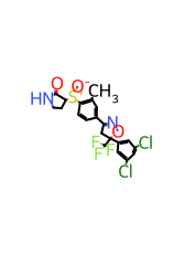 Cc1cc(C2=NOC(c3cc(Cl)cc(Cl)c3)(C(F)(F)F)C2)ccc1[S+]([O-])C1CCNC1=O